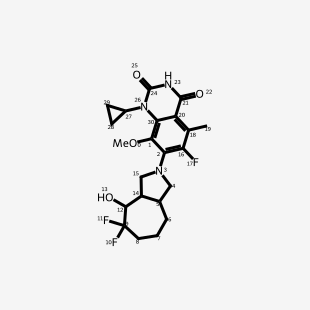 COc1c(N2CC3CCCC(F)(F)C(O)C3C2)c(F)c(C)c2c(=O)[nH]c(=O)n(C3CC3)c12